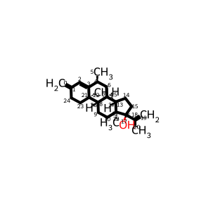 C=C1C=C2[C@@H](C)C[C@@H]3[C@H](CC[C@@]4(C)[C@H]3CC[C@]4(O)C(=C)C)[C@@]2(C)CC1